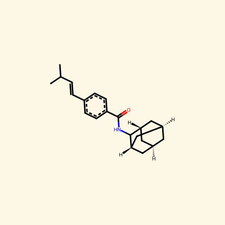 CC(C)/C=C/c1ccc(C(=O)NC2[C@H]3C[C@H]4C[C@H](C3)C[C@@H]2C4)cc1